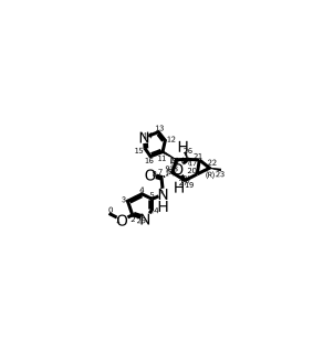 COc1ccc(NC(=O)[C@@H]2[C@@H](c3ccncc3)[C@H]3O[C@@H]2C2C3[C@H]2C)cn1